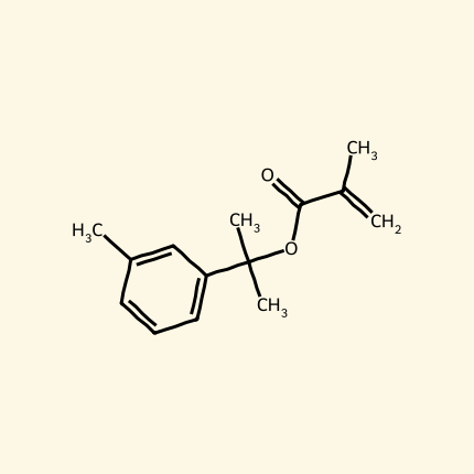 C=C(C)C(=O)OC(C)(C)c1cccc(C)c1